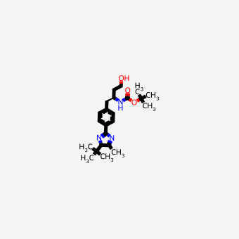 CC1=NC(c2ccc(C[C@@H](CCO)NC(=O)OC(C)(C)C)cc2)=NC1C(C)(C)C